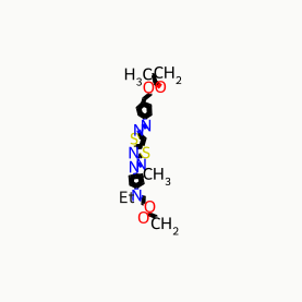 C=CC(=O)OCCN(CC)c1ccc(N=Nc2nc3sc(N=Nc4ccc(CCOC(=O)C(=C)C)cc4)cc3s2)c(C)c1